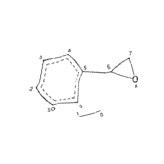 CC.c1ccc(C2CO2)cc1